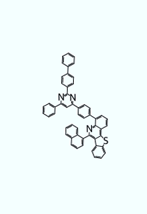 c1ccc(-c2ccc(-c3nc(-c4ccccc4)cc(-c4ccc(-c5cccc6c5nc(-c5cccc7ccccc57)c5c7ccccc7sc65)cc4)n3)cc2)cc1